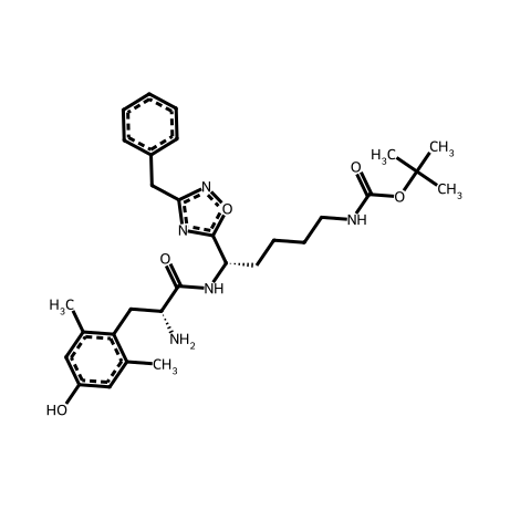 Cc1cc(O)cc(C)c1C[C@@H](N)C(=O)N[C@@H](CCCCNC(=O)OC(C)(C)C)c1nc(Cc2ccccc2)no1